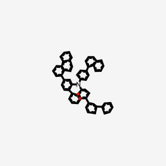 c1ccc(-c2cccc(-c3ccc(N(c4ccc(-c5cccc6ccccc56)cc4)c4cc(-c5cccc6c5ccc5ccccc56)ccc4-c4ccccc4)cc3)c2)cc1